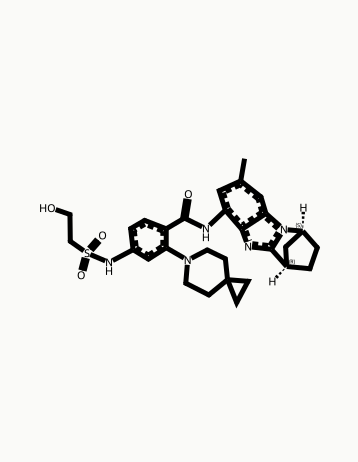 Cc1cc(NC(=O)c2ccc(NS(=O)(=O)CCO)cc2N2CCC3(CC2)CC3)c2nc3n(c2c1)[C@H]1CC[C@@H]3C1